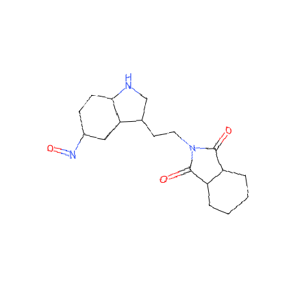 O=NC1CCC2NCC(CCN3C(=O)C4CCCCC4C3=O)C2C1